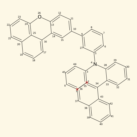 c1ccc(N(c2cccc(-c3ccc4c(c3)-c3cccc5cccc(c35)O4)c2)c2ccccc2-c2cccc3ccccc23)cc1